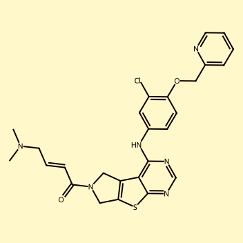 CN(C)CC=CC(=O)N1Cc2sc3ncnc(Nc4ccc(OCc5ccccn5)c(Cl)c4)c3c2C1